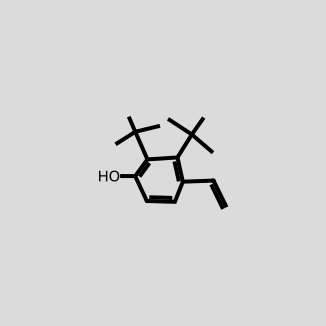 C=Cc1ccc(O)c(C(C)(C)C)c1C(C)(C)C